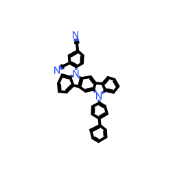 N#Cc1ccc(-n2c3ccccc3c3cc4c(cc32)c2ccccc2n4-c2ccc(-c3ccccc3)cc2)c(C#N)c1